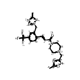 Cc1nnn(Cc2cc(C(F)(F)F)ccc2/C=C/C(=O)N2CCN(Cc3noc(C)n3)CC2)n1